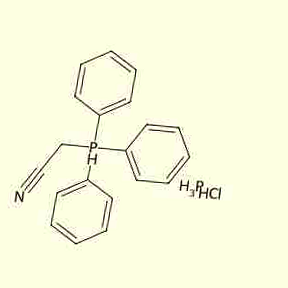 Cl.N#CC[PH](c1ccccc1)(c1ccccc1)c1ccccc1.P